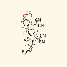 N#CC(C#N)=C1c2cc(OC(F)(F)F)ccc2-c2c1cc1c(c2F)-c2ccc(OC(F)(F)F)cc2C1=C(C#N)C#N